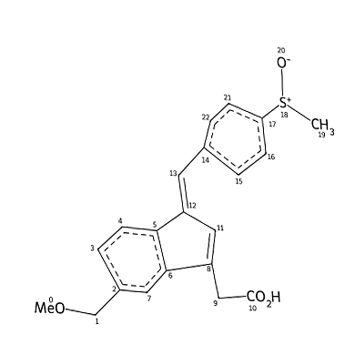 COCc1ccc2c(c1)C(CC(=O)O)=CC2=Cc1ccc([S+](C)[O-])cc1